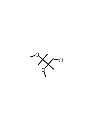 COC(C)(C)C(C)(CCl)OC